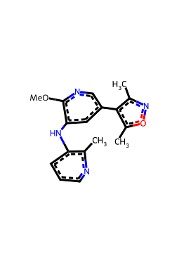 COc1ncc(-c2c(C)noc2C)cc1Nc1cccnc1C